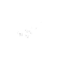 C=Cc1ccc(-n2cnc(N=O)n2)cc1